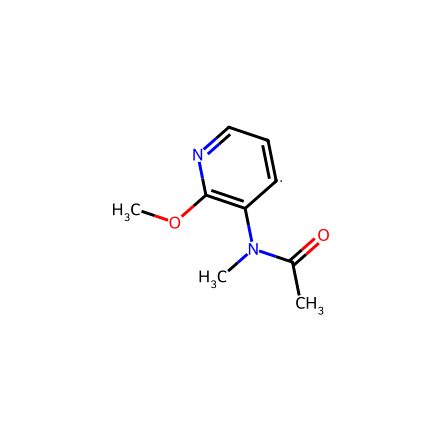 COc1ncc[c]c1N(C)C(C)=O